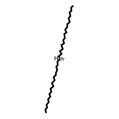 CCCCCCCCCCCCCCCCCCC[CH2][In][CH2]CCCCCCCCCCCCCCCCCCC.[H-]